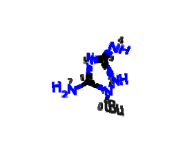 CC(C)(C)n1[nH]c(=N)nc1N